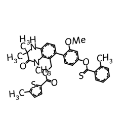 COc1cc(OC(=S)c2ccccc2C)ccc1-c1ccc2c(c1COC(=O)c1ccc(C)s1)N(C)C(=O)C(C)(C)N2